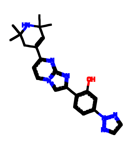 CC1(C)C=C(c2ccn3cc(-c4ccc(-n5nccn5)cc4O)nc3n2)CC(C)(C)N1